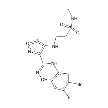 CNS(=O)(=O)CCNc1nonc1/C(=N/O)Nc1ccc(F)c(Br)c1